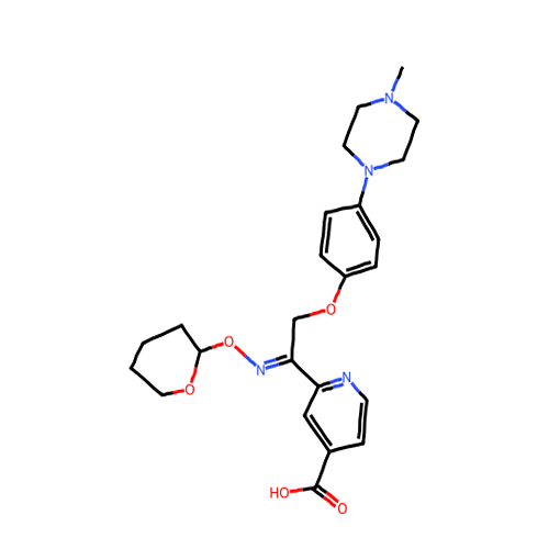 CN1CCN(c2ccc(OC/C(=N\OC3CCCCO3)c3cc(C(=O)O)ccn3)cc2)CC1